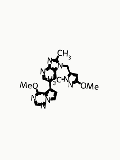 COc1cc(Cn2c(C)nc3ncc(-c4ccn5ncnc(OC)c45)cc32)n(C)n1